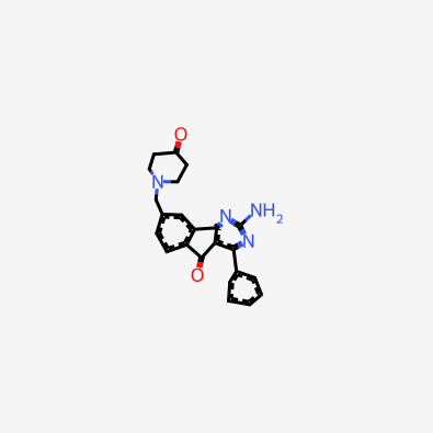 Nc1nc(-c2ccccc2)c2c(n1)-c1cc(CN3CCC(=O)CC3)ccc1C2=O